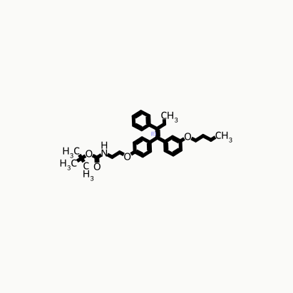 CCCCOc1cccc(/C(=C(\CC)c2ccccc2)c2ccc(OCCNC(=O)OC(C)(C)C)cc2)c1